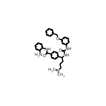 CN(C)CCCC(NC(=O)Nc1cccc(OCc2ccccc2)c1)c1ccc(C(=O)Nc2ccccc2N)cc1